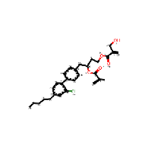 C=C(C)C(=O)OC(CCOC(=O)C(=C)CO)Cc1ccc(-c2ccc(CCCCC)cc2Cl)cc1